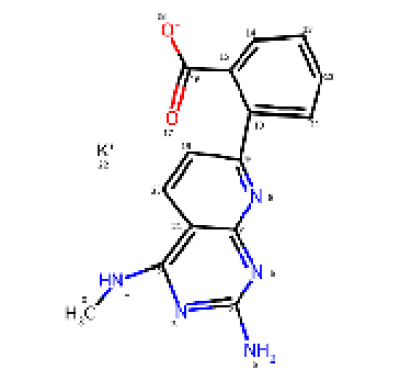 CNc1nc(N)nc2nc(-c3ccccc3C(=O)[O-])ccc12.[K+]